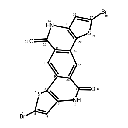 O=c1[nH]c2cc(Br)sc2c2cc3c(=O)[nH]c4cc(Br)sc4c3cc12